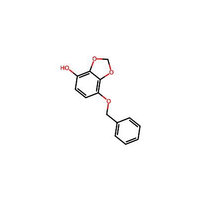 Oc1ccc(OCc2ccccc2)c2c1OCO2